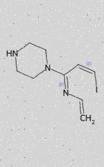 C=C/N=C(\C=C/I)N1CCNCC1